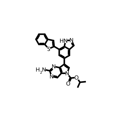 CC(C)OC(=O)n1cc(-c2cc(-c3cc4ccccc4s3)c3[nH]ncc3c2)c2nc(N)ncc21